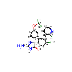 CN1C(=O)[C@](c2ccc(OC(F)F)cc2)(c2ccc(F)c(-c3cccnc3F)c2)N=C1N